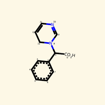 O=C(O)C(c1ccccc1)N1C=NC=CC1